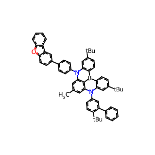 Cc1cc2c3c(c1)N(c1ccc(C(C)(C)C)c(-c4ccccc4)c1)c1cc(C(C)(C)C)ccc1B3c1ccc(C(C)(C)C)cc1N2c1ccc(-c2ccc3oc4ccccc4c3c2)cc1